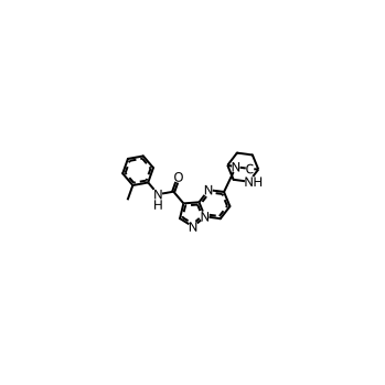 Cc1ccccc1NC(=O)c1cnn2ccc(N3CC4CCC3CN4)nc12